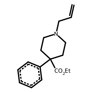 C=CCN1CCC(C(=O)OCC)(c2ccccc2)CC1